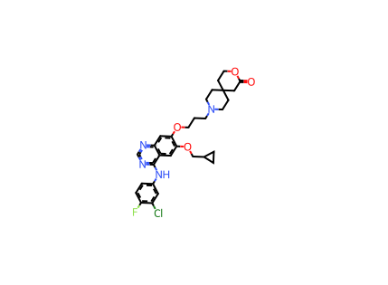 O=C1CC2(CCO1)CCN(CCCOc1cc3ncnc(Nc4ccc(F)c(Cl)c4)c3cc1OCC1CC1)CC2